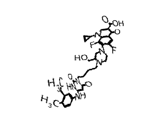 CCc1cc(Nc2cc(=O)n(CCCCN3CCN(c4c(F)cc5c(=O)c(C(=O)O)cn(C6CC6)c5c4F)CC3CO)c(=O)[nH]2)ccc1C